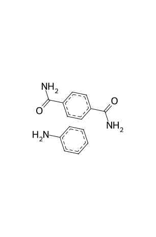 NC(=O)c1ccc(C(N)=O)cc1.Nc1ccccc1